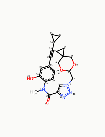 CN(C(=O)c1cn(CC2OCC3(CC3)CO2)nn1)c1ccc(C#CC2CC2)cc1O